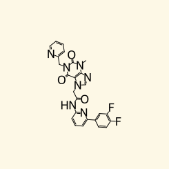 Cn1c(=O)n(Cc2ccccn2)c(=O)c2c1ncn2CC(=O)Nc1cccc(-c2ccc(F)c(F)c2)n1